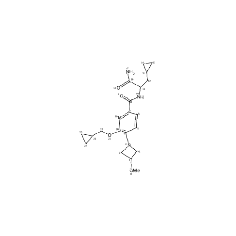 COC1CN(c2ccc(C(=O)NC(CC3CC3)C(N)=O)nc2OCC2CC2)C1